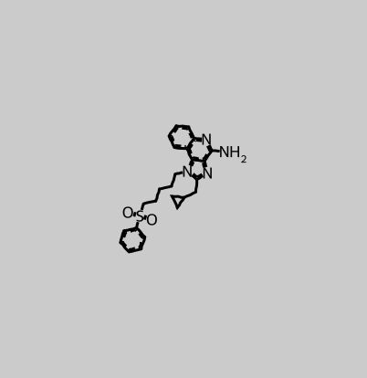 Nc1nc2ccccc2c2c1nc(CC1CC1)n2CCCCCS(=O)(=O)c1ccccc1